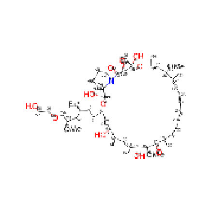 CC[C@@H](CCC1CC(O)[C@H](C)/C=C(\C)C(O)C(OC)C(=O)C(C)CC/C=C/C=C/C=C(\C)[C@@H](OC)/C=C(/C)O[C@](O)(CC)C(=O)C(=O)N2CCCC[C@H]2C(O)O1)C[C@H](COCCO)OC